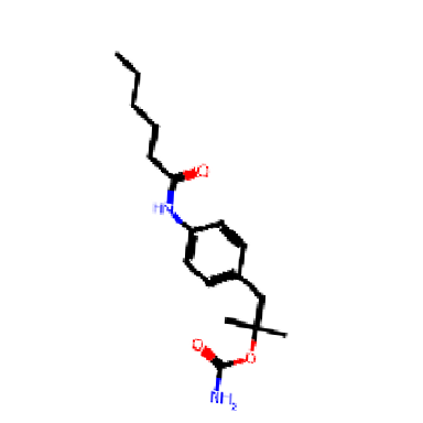 CCCCCC(=O)Nc1ccc(CC(C)(C)OC(N)=O)cc1